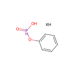 O=[PH](O)Oc1ccccc1.[KH]